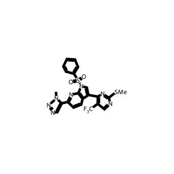 CSc1ncc(C(F)(F)F)c(-c2cn(S(=O)(=O)c3ccccc3)c3nc(-c4cnnn4C)ccc23)n1